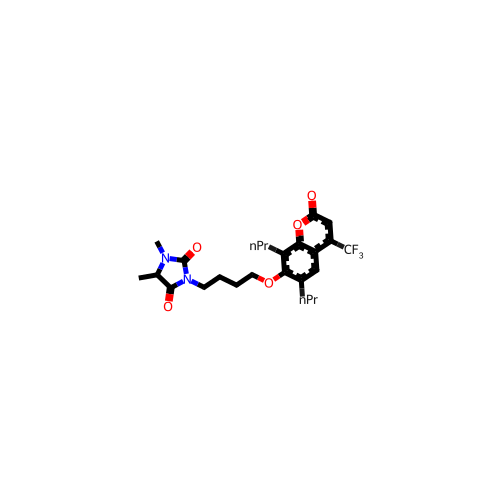 CCCc1cc2c(C(F)(F)F)cc(=O)oc2c(CCC)c1OCCCCN1C(=O)C(C)N(C)C1=O